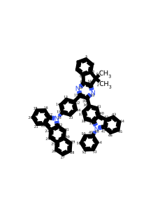 CC1(C)c2ccccc2-c2nc(-c3ccc(-n4c5ccccc5c5cc6ccccc6cc54)cc3)c(-c3ccc4c(c3)c3ccccc3n4-c3ccccc3)nc21